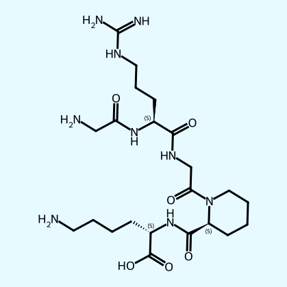 N=C(N)NCCC[C@H](NC(=O)CN)C(=O)NCC(=O)N1CCCC[C@H]1C(=O)N[C@@H](CCCCN)C(=O)O